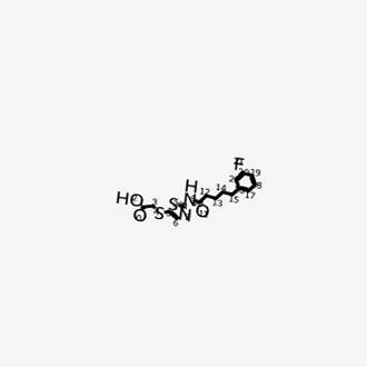 O=C(O)CSc1cnc(NC(=O)CCCCc2cccc(F)c2)s1